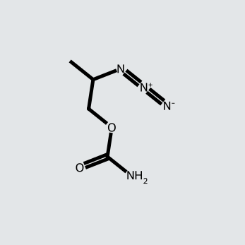 CC(COC(N)=O)N=[N+]=[N-]